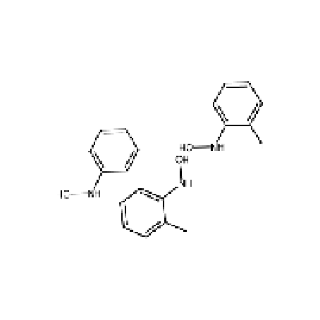 Cc1ccccc1NO.ONc1ccccc1.ONc1ccccc1I